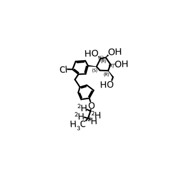 [2H]C([2H])(C)C([2H])([2H])Oc1ccc(Cc2cc([C@@H]3C[C@H](CO)[C@@H](O)[C@H](O)[C@H]3O)ccc2Cl)cc1